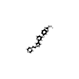 Nc1nc2ccc(Oc3ccnc(-c4cnn(CCN5CCOCC5)c4)c3)cc2s1